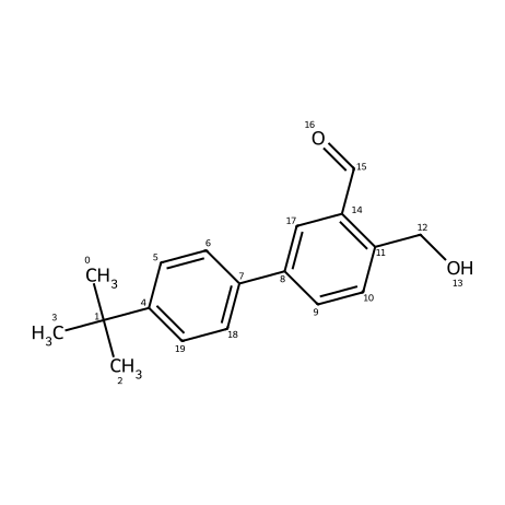 CC(C)(C)c1ccc(-c2ccc(CO)c(C=O)c2)cc1